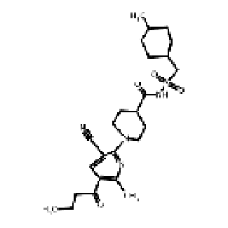 CCCC(=O)c1cc(C#N)c(N2CCC(C(=O)NS(=O)(=O)CC3CCC(C)CC3)CC2)nc1C